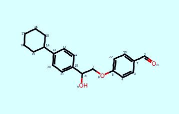 O=Cc1ccc(OCC(O)c2ccc(C3CCCCC3)cc2)cc1